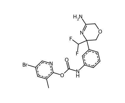 Cc1cc(Br)cnc1OC(=O)Nc1cccc(C2(C(F)F)COCC(N)=N2)c1